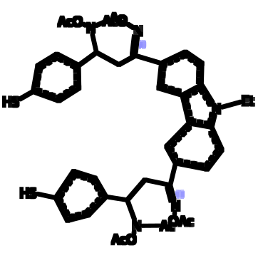 CCn1c2ccc(/C(CC(c3ccc(S)cc3)N(OC(C)=O)C(C)=O)=N/OC(C)=O)cc2c2cc(/C(CC(c3ccc(S)cc3)N(OC(C)=O)C(C)=O)=N/OC(C)=O)ccc21